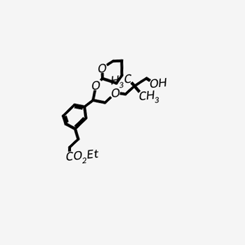 CCOC(=O)CCc1cccc(C(COCC(C)(C)CO)OC2CCCCO2)c1